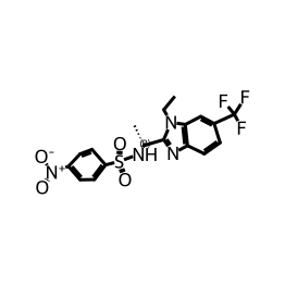 CCn1c([C@@H](C)NS(=O)(=O)c2ccc([N+](=O)[O-])cc2)nc2ccc(C(F)(F)F)cc21